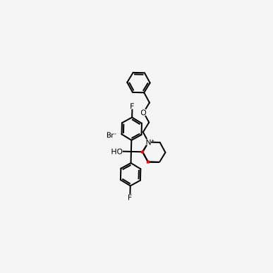 OC(c1ccc(F)cc1)(c1ccc(F)cc1)C1CC2CC[N+]1(CCOCc1ccccc1)CC2.[Br-]